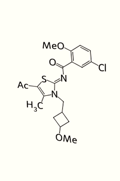 COc1ccc(Cl)cc1C(=O)/N=c1\sc(C(C)=O)c(C)n1CC1CC(OC)C1